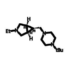 CCN1C[C@@H]2[C@@H](CN3CCN(C(C)(C)C)CC3)[C@@H]2C1